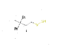 CCC(C)(C(C)C)C(C)CSS